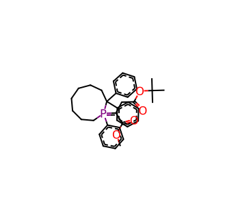 COC(=O)C(CC(=O)OC(C)(C)C)=P1(c2ccccc2)CCCCCCCC1(c1ccccc1)c1ccccc1